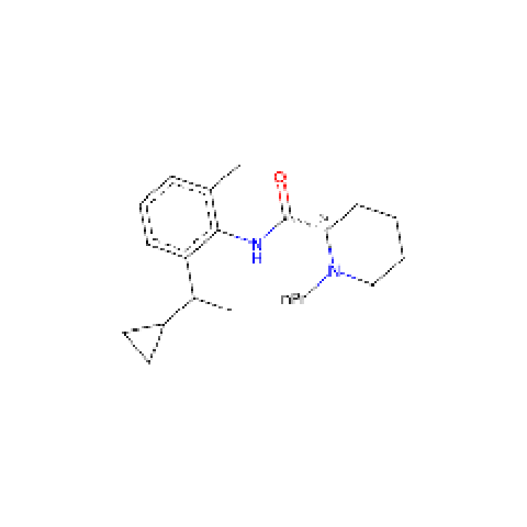 CCCN1CCCC[C@H]1C(=O)Nc1c(C)cccc1C(C)C1CC1